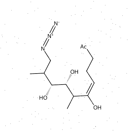 CC(=O)CC/C=C(/O)C(C)[C@@H](O)[C@H](O)C(C)CN=[N+]=[N-]